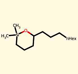 CCCCCCCCCC1CCC[Si](C)(C)O1